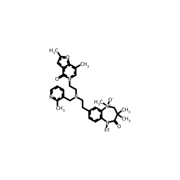 CCN1C(=O)C(C)(C)C[N+](C)([O-])c2cc(CCN(CCn3cc(C)c4oc(C)cc4c3=O)Cc3cccnc3C)ccc21